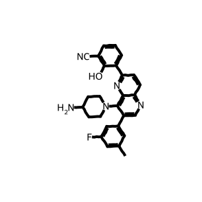 Cc1cc(F)cc(-c2cnc3ccc(-c4cccc(C#N)c4O)nc3c2N2CCC(N)CC2)c1